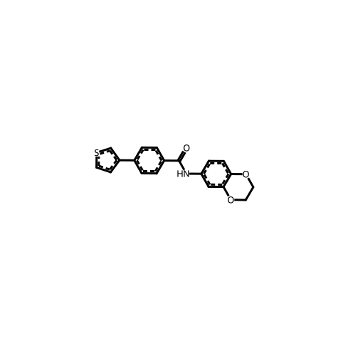 O=C(Nc1ccc2c(c1)OCCO2)c1ccc(-c2ccsc2)cc1